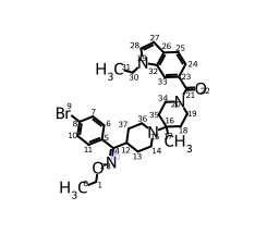 CCO/N=C(\c1ccc(Br)cc1)C1CCN(C2(C)CCN(C(=O)c3ccc4ccn(CC)c4c3)CC2)CC1